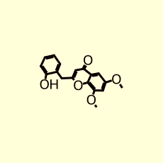 COc1cc(OC)c2oc(Cc3ccccc3O)cc(=O)c2c1